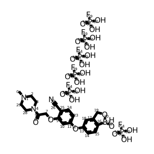 CN1CCN(C(=O)COc2cc(Oc3ccc4c(c3)COB4O)ccc2C#N)CC1.O=P(O)(O)F.O=P(O)(O)F.O=P(O)(O)F.O=P(O)(O)F.O=P(O)(O)F.O=P(O)(O)F